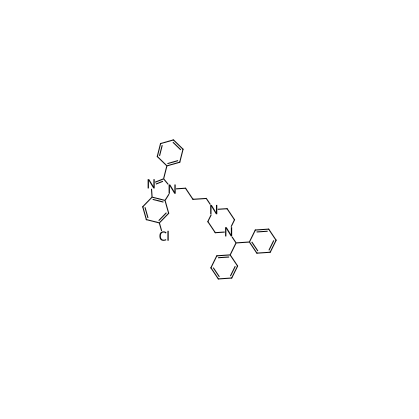 Clc1ccc2nc(-c3ccccc3)n(CCCN3CCN(C(c4ccccc4)c4ccccc4)CC3)c2c1